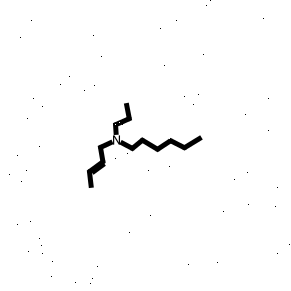 CC=CCN(CCC)CCCCCC